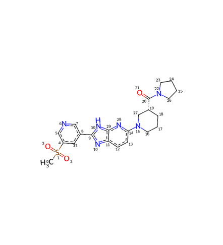 CS(=O)(=O)c1cncc(-c2nc3ccc(N4CCC[C@@H](C(=O)N5CCCC5)C4)nc3[nH]2)c1